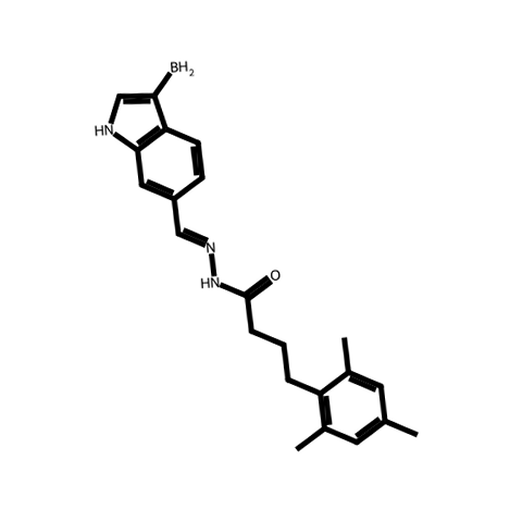 Bc1c[nH]c2cc(/C=N/NC(=O)CCCc3c(C)cc(C)cc3C)ccc12